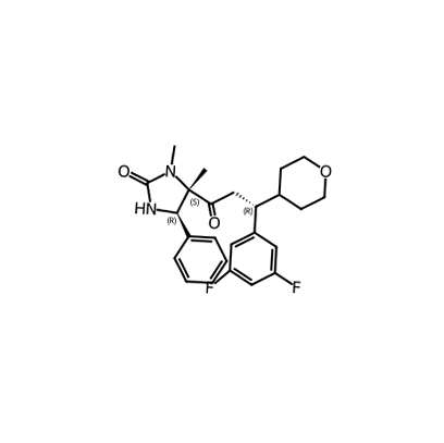 CN1C(=O)N[C@H](c2ccccc2)[C@@]1(C)C(=O)C[C@@H](c1cc(F)cc(F)c1)C1CCOCC1